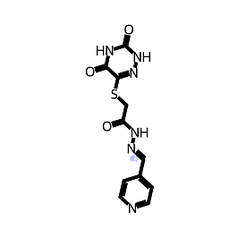 O=C(CSc1n[nH]c(=O)[nH]c1=O)N/N=C/c1ccncc1